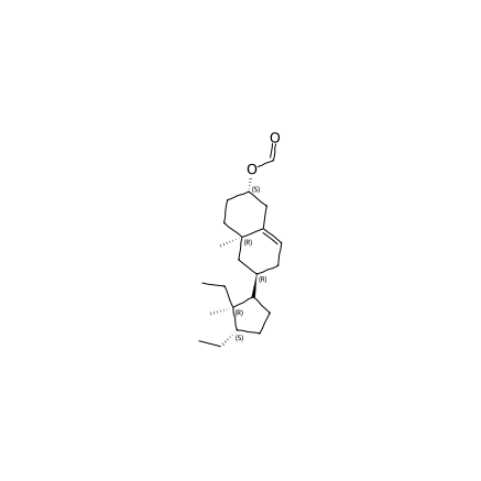 CC[C@H]1CCC([C@@H]2CC=C3C[C@@H](OC=O)CC[C@]3(C)C2)[C@]1(C)CC